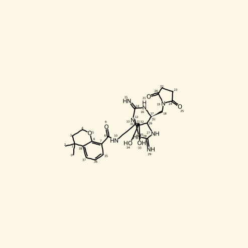 CC1(C)CCOc2c(C(=O)NC3CN4C(=N)N[C@@H](CN5C(=O)CCC5=O)C5NC(=N)NC54C3(O)O)cccc21